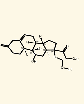 CCOCO[C@]1(C(=O)COC(C)=O)CC[C@H]2[C@@H]3CC=C4CC(=O)CC[C@]4(C)[C@@]3(Br)C(O)C[C@@]21C